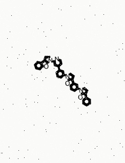 c1cc(-c2ccnc(-n3ccc4c5ccccc5oc43)c2)cc(-n2ccc3c4cc(-n5ccc6c7ccccc7oc65)ccc4oc32)c1